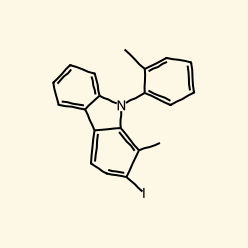 Cc1ccccc1-n1c2ccccc2c2ccc(I)c(C)c21